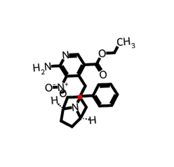 CCOC(=O)c1cnc(N)c([N+](=O)[O-])c1CC1C[C@H]2CC[C@@H](C1)N2Cc1ccccc1